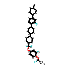 CC1CCC(c2ccc(C3CCC(C4CCC(C(F)(F)Oc5ccc(OC(F)C(F)(F)F)c(F)c5)CC4)CC3)c(F)c2)CC1